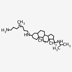 CC(C)NCC1CCC2C3CCC4CC(NCCCN(C)CCCN)CCC4(C)C3CCC12C